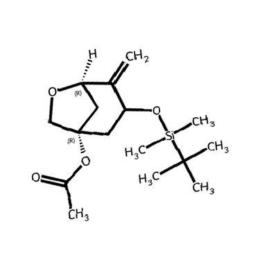 C=C1C(O[Si](C)(C)C(C)(C)C)C[C@@]2(OC(C)=O)CO[C@@H]1C2